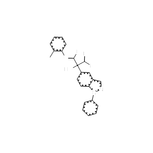 Cc1ccccc1OC(F)C(O)(c1ccc2c(cnn2-c2ccccc2)c1)C(F)F